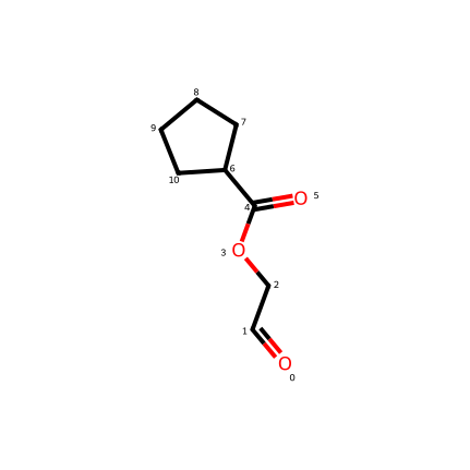 O=CCOC(=O)C1CCCC1